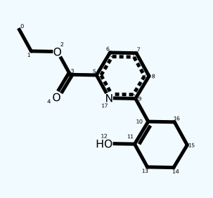 CCOC(=O)c1cccc(C2=C(O)CCCC2)n1